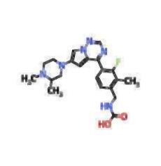 Cc1c(CNC(=O)O)ccc(-c2ncnn3cc(N4CCN(C)C(C)C4)cc23)c1F